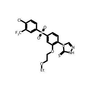 CCOCCOc1cc(S(=O)(=O)c2ccc(Cl)c(C(F)(F)F)c2)ccc1-n1cn[nH]c1=S